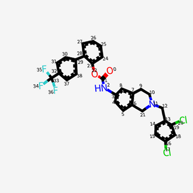 O=C(Nc1ccc2c(c1)CCN(Cc1ccc(Cl)cc1Cl)C2)Oc1ccccc1-c1ccc(C(F)(F)F)cc1